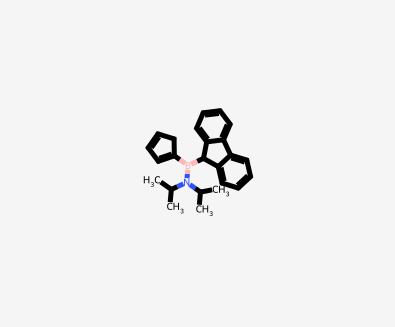 CC(C)N(B(C1=CC=CC1)C1c2ccccc2-c2ccccc21)C(C)C